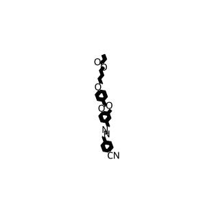 C=CC(=O)OCCCCOc1ccc(C(=O)Oc2ccc(/C=N/N=C/c3ccc(C#N)cc3)cc2C)cc1